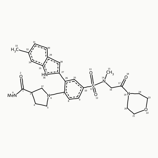 CNC(=O)C1CCN(c2ccc(S(=O)(=O)N(C)CC(=O)N3CCOCC3)cc2-c2cc3ccc(C)cc3[nH]2)C1